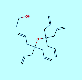 C=CC[Si](CC=C)(CC=C)O[Si](CC=C)(CC=C)CC=C.CCO